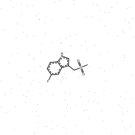 CS(=O)(=O)Cc1c[nH]c2ccc(F)cc12